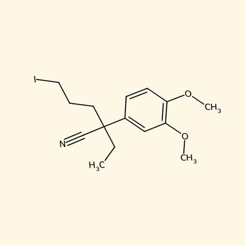 CCC(C#N)(CCCI)c1ccc(OC)c(OC)c1